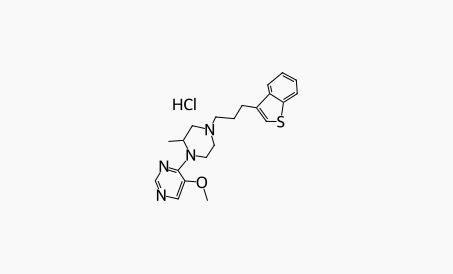 COc1cncnc1N1CCN(CCCc2csc3ccccc23)CC1C.Cl